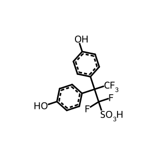 O=S(=O)(O)C(F)(F)C(c1ccc(O)cc1)(c1ccc(O)cc1)C(F)(F)F